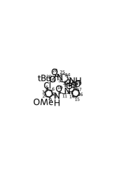 COc1ccc(Cl)cc1NC(=O)CNc1ccccc1S(=O)(=O)NC1CCN(C(=O)OC(C)(C)C)CC1